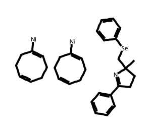 CC1(C[Se]c2ccccc2)CCC(c2ccccc2)=N1.[Ni][C]1=CCCC=CCC1.[Ni][C]1=CCCC=CCC1